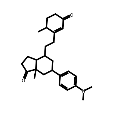 CC1CCC(=O)C=C1CCC1CC(c2ccc(N(C)C)cc2)CC2(C)C(=O)CCC12